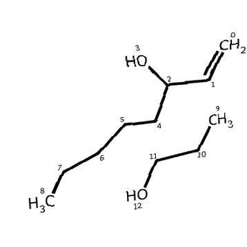 C=CC(O)CCCCC.CCCO